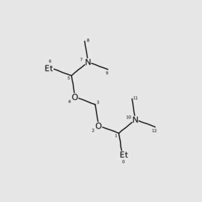 CCC(OCOC(CC)N(C)C)N(C)C